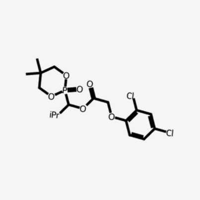 CC(C)C(OC(=O)COc1ccc(Cl)cc1Cl)P1(=O)OCC(C)(C)CO1